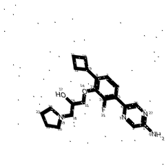 Nc1cnc(-c2ccc(C3CCC3)c(OCC(O)CN3CCCC3)c2F)cn1